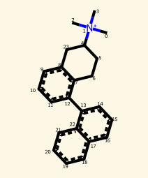 C[N+](C)(C)C1CCc2c(cccc2-c2cccc3ccccc23)C1